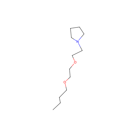 CCCCOCCOCCN1CCCC1